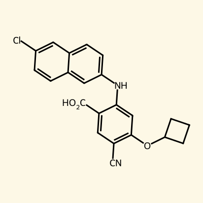 N#Cc1cc(C(=O)O)c(Nc2ccc3cc(Cl)ccc3c2)cc1OC1CCC1